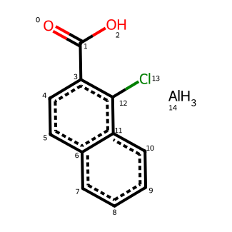 O=C(O)c1ccc2ccccc2c1Cl.[AlH3]